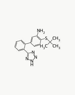 CC(C)(C)Sc1ccc(-c2ccccc2-c2nn[nH]n2)cc1N